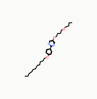 CCCCCCCCCCCOc1ccc(-c2ncc(OCCCCOCCCC)cn2)cc1